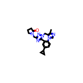 Cc1ncn2c1Cn1nc(CN3CCCC3=O)nc1-c1cc(C3CC3)ccc1-2